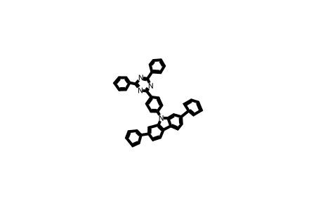 c1ccc(-c2ccc3c4ccc(-c5ccccc5)cc4n(-c4ccc(-c5nc(-c6ccccc6)nc(-c6ccccc6)n5)cc4)c3c2)cc1